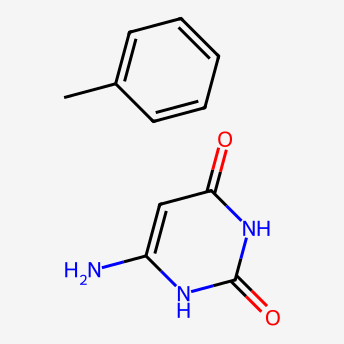 Cc1ccccc1.Nc1cc(=O)[nH]c(=O)[nH]1